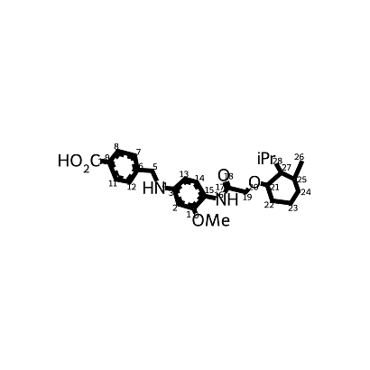 COc1cc(NCc2ccc(C(=O)O)cc2)ccc1NC(=O)COC1CCCC(C)C1C(C)C